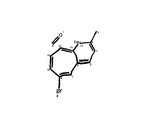 C=O.CC1=CC=C2C=C(Br)C=CC=C2N1